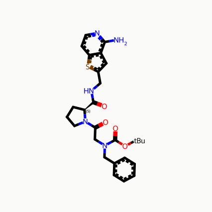 CC(C)(C)OC(=O)N(CC(=O)N1CCC[C@H]1C(=O)NCc1cc2c(N)nccc2s1)Cc1ccccc1